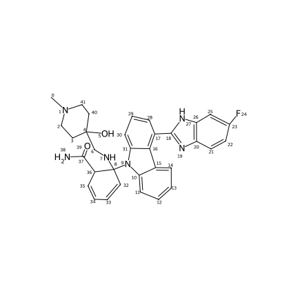 CN1CCC(O)(CNC2(n3c4ccccc4c4c(-c5nc6ccc(F)cc6[nH]5)cccc43)C=CC=CC2C(N)=O)CC1